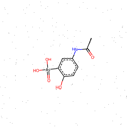 CC(=O)Nc1ccc(O)c([As](=O)(O)O)c1